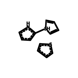 C1=C[SH](c2ccc[nH]2)C=C1.c1ccsc1